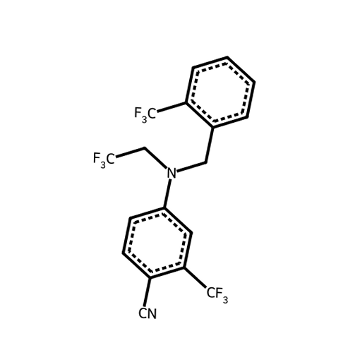 N#Cc1ccc(N(Cc2ccccc2C(F)(F)F)CC(F)(F)F)cc1C(F)(F)F